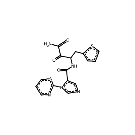 NC(=O)C(=O)C(Cc1cccs1)NC(=O)c1cncn1-c1ncccn1